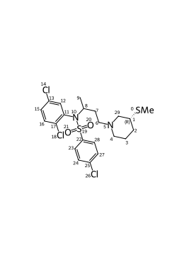 CS[C@@H]1CCCN(CCC(C)N(c2cc(Cl)ccc2Cl)S(=O)(=O)c2ccc(Cl)cc2)C1